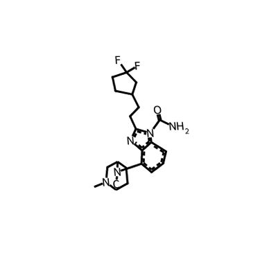 CN1CC2CCC1CN2c1cccc2c1nc(CCC1CCC(F)(F)C1)n2C(N)=O